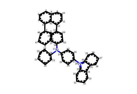 c1ccc(-c2cccc3cccc(-c4ccc(N(c5ccccc5)c5ccc(-n6c7ccccc7c7ccccc76)cc5)cc4)c23)cc1